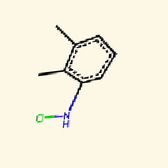 Cc1cccc(NCl)c1C